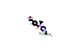 CC(C)(F)CN1CCC(N(C(=O)c2ccc(-c3cnco3)c(F)c2)C2CC2)CC1